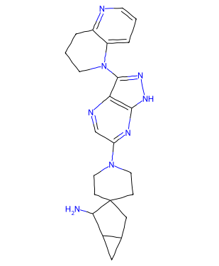 NC1C2CC2CC12CCN(c1cnc3c(N4CCCc5ncccc54)n[nH]c3n1)CC2